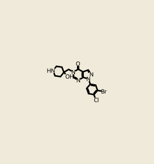 O=c1c2cnn(-c3ccc(Cl)c(Br)c3)c2ncn1CC1(O)CCNCC1